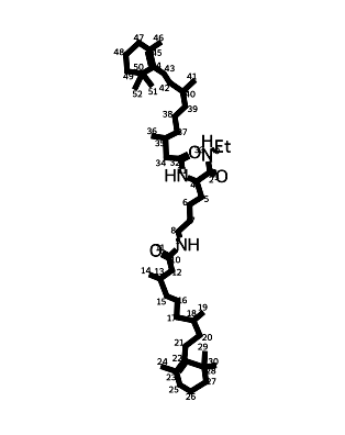 CCNC(=O)C(CCCCNC(=O)CC(C)CCCC(C)CCC1=C(C)CCCC1(C)C)NC(=O)CC(C)CCCC(C)CCC1=C(C)CCCC1(C)C